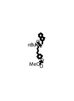 CCCCn1c(CCCc2ccc(OC(C)(C)C(=O)OC)cc2)nn(Cc2ccc3ccccc3c2)c1=O